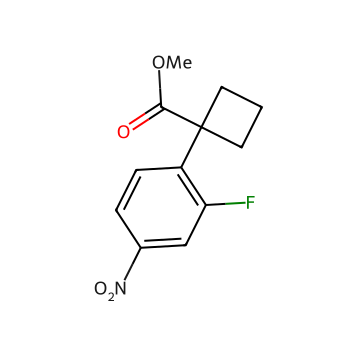 COC(=O)C1(c2ccc([N+](=O)[O-])cc2F)CCC1